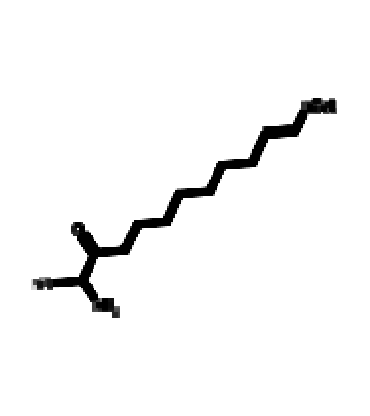 CCCCCCCCC=CCCCCCCCC(=O)C(N)CCC